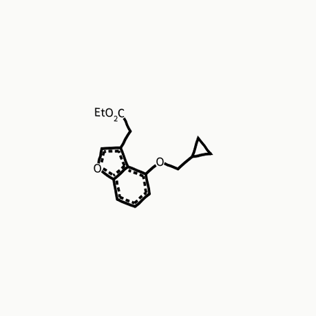 CCOC(=O)Cc1coc2cccc(OCC3CC3)c12